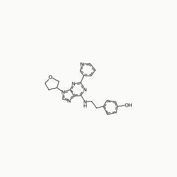 Oc1ccc(CCNc2nc(-c3cccnc3)nc3c2ncn3C2CCOC2)cc1